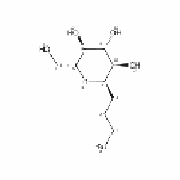 CC(C)(C)CCC[C@H]1O[C@H](CO)[C@@H](O)[C@H](O)[C@H]1O